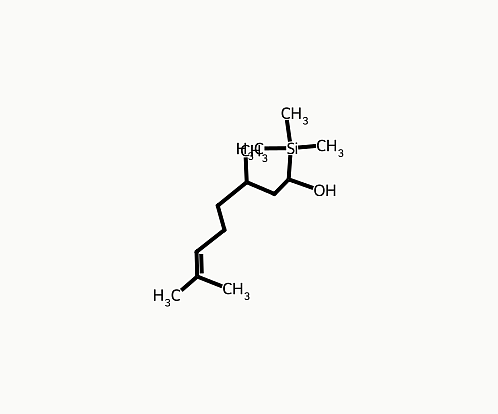 CC(C)=CCCC(C)CC(O)[Si](C)(C)C